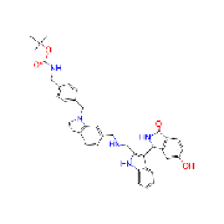 CC(C)(C)OC(=O)NCc1ccc(Cn2ccc3ccc(CNCc4[nH]c5ccccc5c4C4NC(=O)c5ccc(O)cc54)cc32)cc1